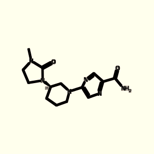 CN1CCN([C@@H]2CCCN(c3cnc(C(N)=O)cn3)C2)C1=O